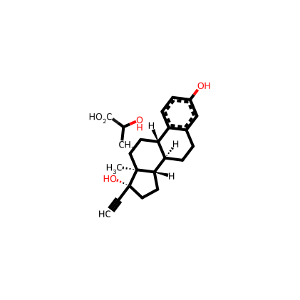 C#C[C@]1(O)CC[C@H]2[C@@H]3CCc4cc(O)ccc4[C@H]3CC[C@@]21C.CC(O)C(=O)O